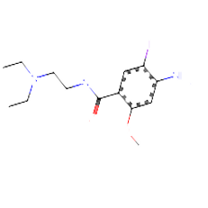 CCN(CC)CCNC(=O)c1cc(I)c(N)cc1OC